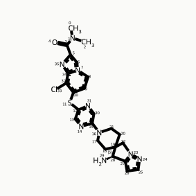 CN(C)C(=O)c1cn2ccc(Sc3cnc(N4CCC5(CC4)Cn4nccc4[C@H]5N)cn3)c(Cl)c2n1